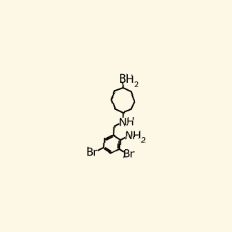 BC1CCCC(NCc2cc(Br)cc(Br)c2N)CCC1